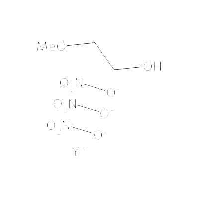 COCCO.O=[N+]([O-])[O-].O=[N+]([O-])[O-].O=[N+]([O-])[O-].[Y+3]